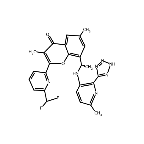 Cc1cc([C@@H](C)Nc2ccc(C)nc2-c2nn[nH]n2)c2oc(-c3cccc(C(F)F)n3)c(C)c(=O)c2c1